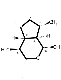 C[C@@H]1CO[C@@H](O)[C@H]2[C@@H]1CC[C@@H]2C